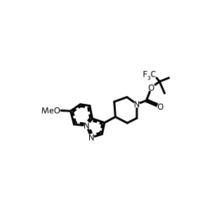 COc1ccc2c(C3CCN(C(=O)OC(C)(C)C(F)(F)F)CC3)cnn2c1